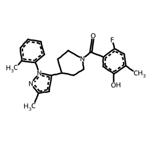 Cc1cc(C2CCN(C(=O)c3cc(O)c(C)cc3F)CC2)n(-c2ccccc2C)n1